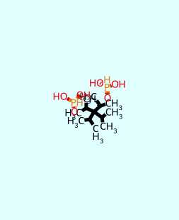 CC(C)C(C(C)C)(C(C)C)C(C)C.O=[PH](O)O.O=[PH](O)O